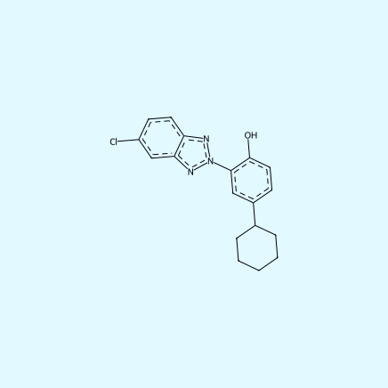 Oc1ccc(C2CCCCC2)cc1-n1nc2ccc(Cl)cc2n1